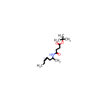 CC/C=C\CC(C)NC(=O)CCC(=O)OC(C)(C)C